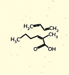 C=CC=C.CCCC=C(C)C(=O)O